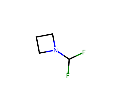 FC(F)N1CCC1